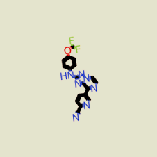 N#Cc1ccc(-c2nccn3nc(Nc4ccc(OC(F)F)cc4)nc23)cn1